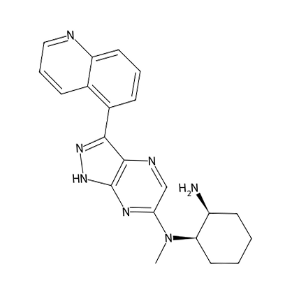 CN(c1cnc2c(-c3cccc4ncccc34)n[nH]c2n1)[C@@H]1CCCC[C@@H]1N